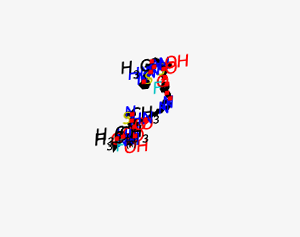 Cc1ncsc1-c1ccc(CNC(=O)[C@@H]2C[C@@H](O)CN2C(=O)[C@@H](NC(=O)C2(F)CC2)C(C)(C)C)c(OCC(=O)NCCCCCN2CCN(CC#Cc3ccc(OCCCc4sc(N5CCCc6c5nnc(Nc5nc7ccccc7s5)c6C)nc4C(=O)O)c(F)c3)CC2)c1